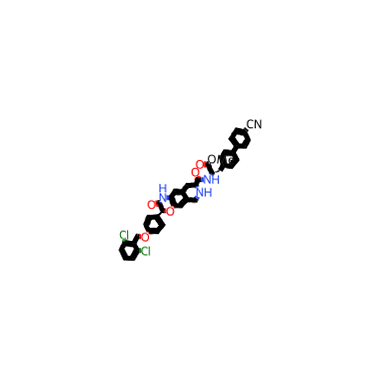 COC(=O)[C@H](Cc1ccc(-c2ccc(C#N)cc2)cc1)NC(=O)C1Cc2cc3c(cc2CN1)O[C@@H](c1ccc(OCc2c(Cl)cccc2Cl)cc1)C(=O)N3